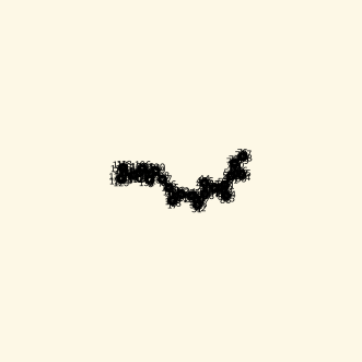 C1=CC2c3c(-c4ccc(-c5ccc(-n6c7ccccc7c7cc(-c8ccc9c(c8)c8ccccc8n9-c8cccc(-c9ccccc9-c9ccc%10c(c9)c9cc(-c%11ccc%12c(c%11)c%11ccccc%11n%12-c%11cccc(-c%12ccccc%12)c%11)cc%11c%12ccccc%12n%10c%119)c8)ccc76)cc5)cc4)cccc3N(c3cccc4c3oc3ccc(-n5c6ccccc6c6ccccc65)cc34)C2C=C1